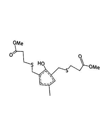 COC(=O)CCSCc1cc(C)cc(CSCCC(=O)OC)c1O